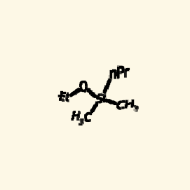 C[CH]O[Si](C)(C)CCC